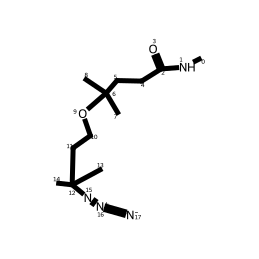 CNC(=O)CCC(C)(C)OCCC(C)(C)N=[N+]=[N-]